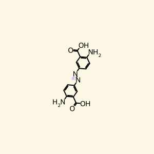 Nc1ccc(/N=N/c2ccc(N)c(C(=O)O)c2)cc1C(=O)O